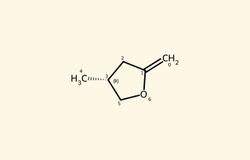 C=C1C[C@@H](C)CO1